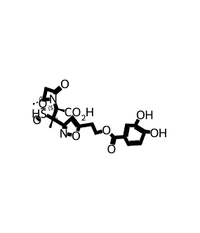 C[C@@H]1CC(=O)N1[C@@H](C(=O)O)[C@](C)(c1cc(CCOC(=O)c2ccc(O)c(O)c2)on1)[SH](=O)=O